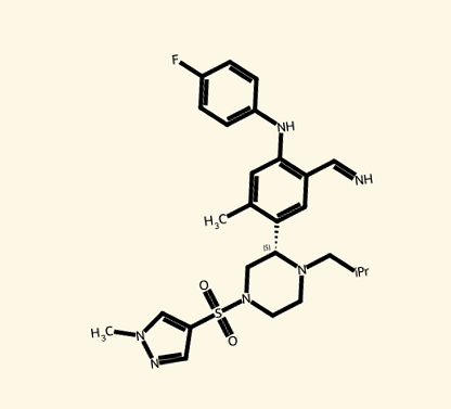 Cc1cc(Nc2ccc(F)cc2)c(C=N)cc1[C@H]1CN(S(=O)(=O)c2cnn(C)c2)CCN1CC(C)C